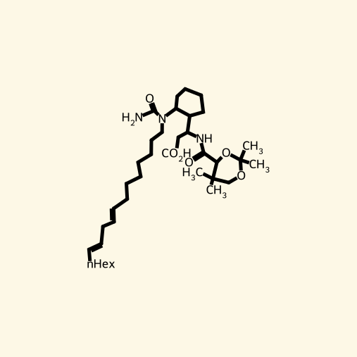 CCCCCCC=CCC=CCCCCCCCN(C(N)=O)C1CCCCC1C(CC(=O)O)NC(=O)C1OC(C)(C)OCC1(C)C